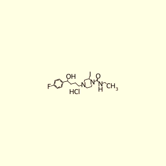 CCNC(=O)N1CCN(CCCC(O)c2ccc(F)cc2)CC1I.Cl